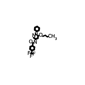 CCCCOc1cc(=NC(=O)c2ccc(C(F)(F)F)cc2)cnn1-c1ccccc1